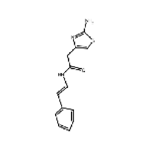 Nc1nc(CC(=O)NC=Cc2ccccc2)cs1